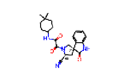 CC1(C)CCC(NC(=O)C(=O)N2C[C@]3(C[C@H]2C#N)C(=O)Nc2ccccc23)CC1